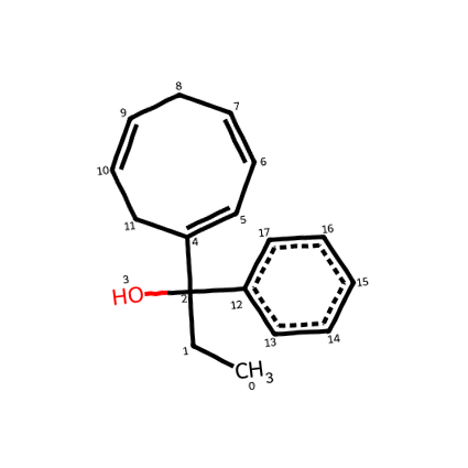 CCC(O)(/C1=C/C=C\C/C=C\C1)c1ccccc1